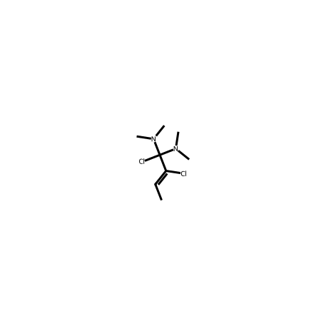 CC=C(Cl)C(Cl)(N(C)C)N(C)C